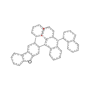 c1ccc(-c2cc3c(cc2-c2c4ccccc4c(-c4cccc5ccccc45)c4ccccc24)oc2ccccc23)cc1